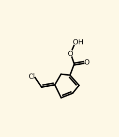 O=C(OO)C1=CC=CC(=CCl)C1